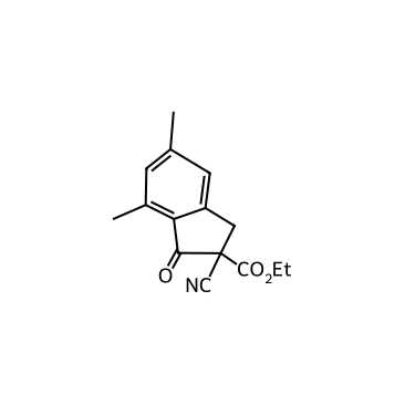 CCOC(=O)C1(C#N)Cc2cc(C)cc(C)c2C1=O